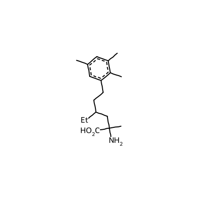 CCC(CCc1cc(C)cc(C)c1C)CC(C)(N)C(=O)O